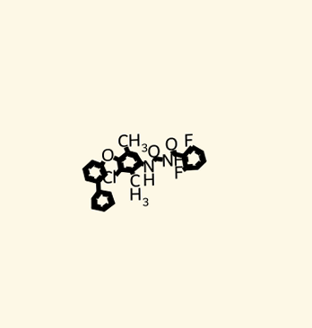 Cc1cc(NC(=O)NC(=O)c2c(F)cccc2F)c(C)c(Cl)c1Oc1cccc(-c2ccccc2)c1